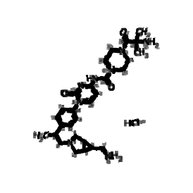 CC(CN1CC2C(CN)C2C1)c1ccc(-n2ccc(NC(=O)N3CCN(C(=O)C(C)(C)N)CC3)nc2=O)cc1.Cl